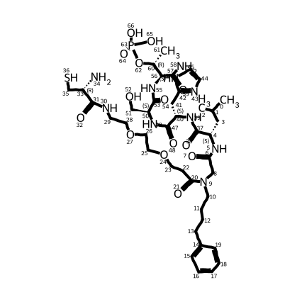 CC(C)C[C@H](NC(=O)CN(CCCCc1ccccc1)C(=O)CCOCCOCCNC(=O)[C@@H](N)CS)C(=O)N[C@@H](Cc1ncc[nH]1)C(=O)N[C@@H](CO)C(=O)N[C@H](C(N)=O)[C@@H](C)OP(=O)(O)O